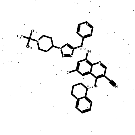 CC(C)(C)N1CCC(n2cc([C@@H](Nc3cc(Cl)cc4c(N[C@H]5CCCc6ccccc65)c(C#N)cnc34)c3ccccc3)nn2)CC1